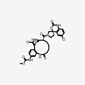 COC(=O)Nc1ccc2c(c1)NC(=O)CCCC[C@H](C(=O)N1CC[C@@]3(C1)OC(=O)Nc1ccc(Cl)cc13)c1nc-2c(Cl)[nH]1